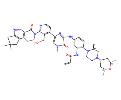 C=CC(=O)Nc1cc(Nc2nc(-c3ccnc(N4CCc5c(cnc6c5CC(C)(C)C6)C4=O)c3CO)cn(C)c2=O)ccc1N1CCN(C2C[C@@H](C)O[C@@H](C)C2)C[C@@H]1C